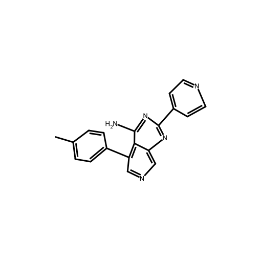 Cc1ccc(-c2cncc3nc(-c4ccncc4)nc(N)c23)cc1